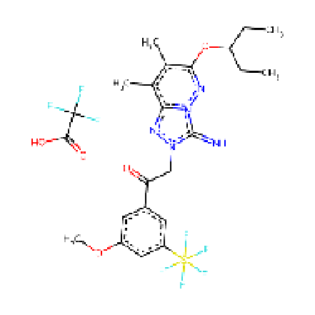 CCC(CC)Oc1nn2c(=N)n(CC(=O)c3cc(OC)cc(S(F)(F)(F)(F)F)c3)nc2c(C)c1C.O=C(O)C(F)(F)F